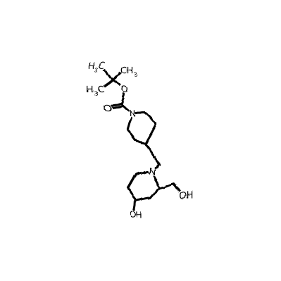 CC(C)(C)OC(=O)N1CCC(CN2CCC(O)CC2CO)CC1